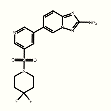 Nc1nc2ccc(-c3cncc(S(=O)(=O)N4CCC(F)(F)CC4)c3)cn2n1